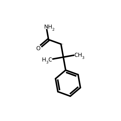 CC(C)([CH]C(N)=O)c1ccccc1